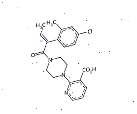 C/C=C(/C(=O)N1CCN(c2ncccc2C(=O)O)CC1)c1ccc(Cl)cc1C